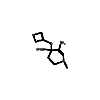 CCCCCC1(OC2COC2)CCN(C)C=C1N